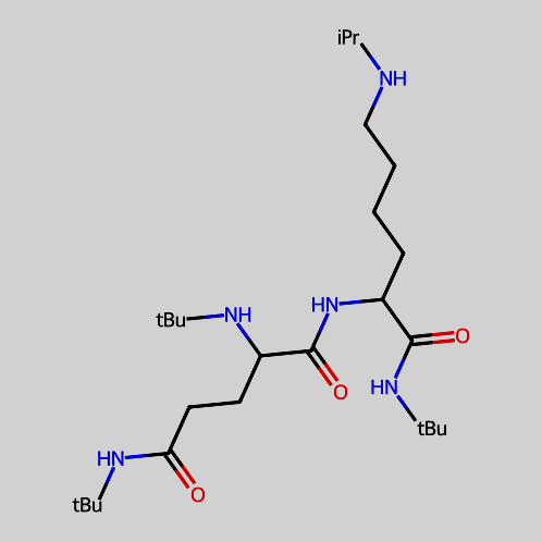 CC(C)NCCCCC(NC(=O)C(CCC(=O)NC(C)(C)C)NC(C)(C)C)C(=O)NC(C)(C)C